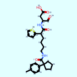 Cc1ccc(C2(C(=O)NCCCCC(C(=O)NC(C=O)CC(=O)O)c3cccs3)CCCC2)cc1